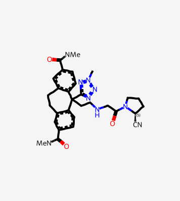 CNC(=O)c1ccc2c(c1)CCc1cc(C(=O)NC)ccc1C2(CCNCC(=O)N1CCC[C@H]1C#N)c1nnn(C)n1